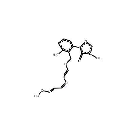 Cc1cccc(-n2nnn(C)c2=O)c1COC=N/N=C\C=NOO